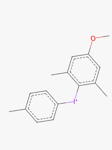 COc1cc(C)c([I+]c2ccc(C)cc2)c(C)c1